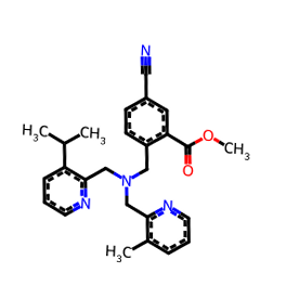 COC(=O)c1cc(C#N)ccc1CN(Cc1ncccc1C)Cc1ncccc1C(C)C